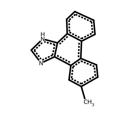 Cc1ccc2c3ccccc3c3[nH]cnc3c2c1